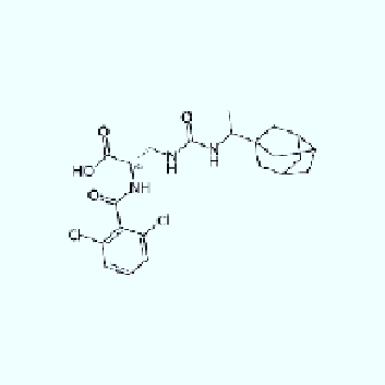 CC(NC(=O)NC[C@H](NC(=O)c1c(Cl)cccc1Cl)C(=O)O)C12CC3CC(C1)C(C3)C2